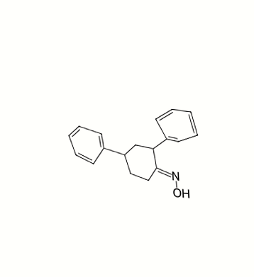 ON=C1CCC(c2ccccc2)CC1c1ccccc1